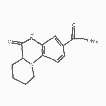 COC(=O)c1ccc2c(c1)NC(=O)C1CCCCN21